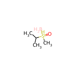 B[SH](C)(=O)C(C)C